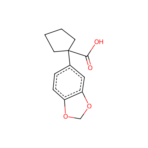 O=C(O)C1(c2ccc3c(c2)OCO3)CCCC1